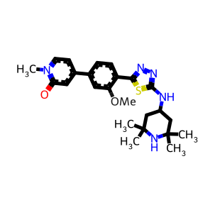 COc1cc(-c2ccn(C)c(=O)c2)ccc1-c1nnc(NC2CC(C)(C)NC(C)(C)C2)s1